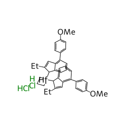 CCC1=Cc2c(-c3ccc(OC)cc3)cccc2[CH]1[Hf]1([CH]2C(CC)=Cc3c(-c4ccc(OC)cc4)cccc32)[CH2]C[CH2]1.Cl.Cl